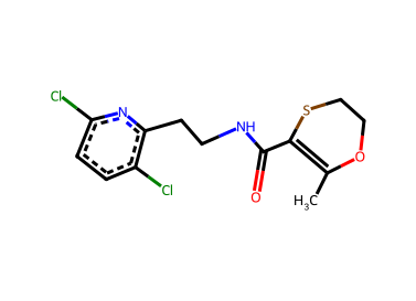 CC1=C(C(=O)NCCc2nc(Cl)ccc2Cl)SCCO1